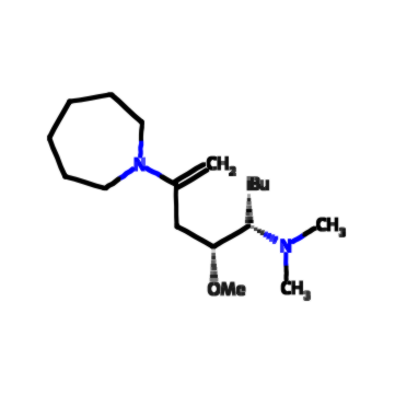 C=C(C[C@@H](OC)[C@H]([C@@H](C)CC)N(C)C)N1CCCCCC1